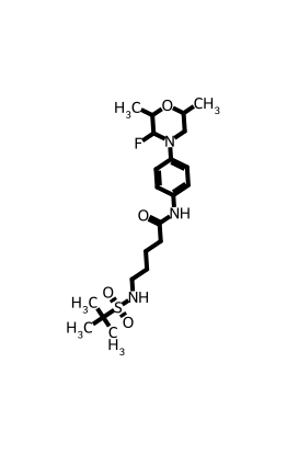 CC1CN(c2ccc(NC(=O)CCCCNS(=O)(=O)C(C)(C)C)cc2)C(F)C(C)O1